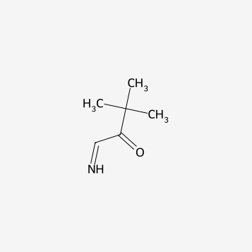 CC(C)(C)C(=O)C=N